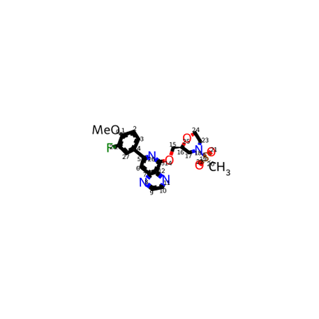 COc1ccc(-c2cc3nccnc3c(OC[C@@H]3CN(S(C)(=O)=O)CCO3)n2)cc1F